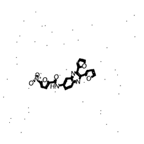 O=C(Nc1ccc2nc(-c3ccco3)c(-c3ccco3)nc2c1)c1ccc([N+](=O)[O-])o1